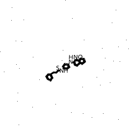 O=[N+]([O-])c1c(Nc2ccc(NC(=S)CCc3ccccc3)cc2)ccc2ccccc12